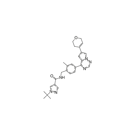 Cc1cc(-c2ncnn3cc(C4=CCOCC4)cc23)ccc1CNC(=O)c1cnn(C(C)(C)C)c1